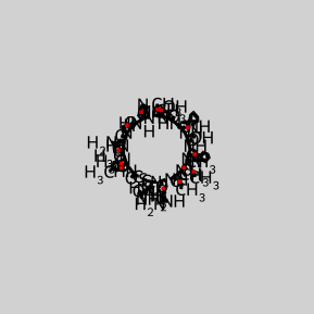 CCCC[C@H]1C(=O)N(C)[C@@H](CCCC)C(=O)N[C@@H](CCCNC(=N)N)C(=O)N[C@H](C(=O)NCC(N)=O)CSCC(=O)N[C@@H](Cc2cccc(C)c2)C(=O)N(C)[C@@H](C)C(=O)NC(CC(N)=O)C(=O)N2CCC[C@H]2C(=O)N[C@@H](Cc2cnc[nH]2)C(=O)N[C@@H](CC(C)C)C(=O)N2C[C@H](O)CC2C(=O)N[C@@H](Cc2c[nH]c3ccccc23)C(=O)N[C@@H](CO)C(=O)N[C@@H](Cc2c[nH]c3ccccc23)C(=O)N1C